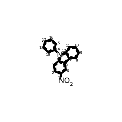 O=[N+]([O-])c1ccc2c(c1)c1ccccc1n2-c1cc[c]cc1